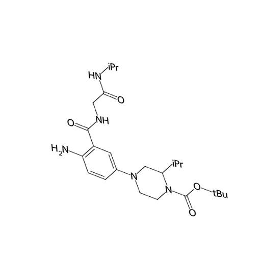 CC(C)NC(=O)CNC(=O)c1cc(N2CCN(C(=O)OC(C)(C)C)C(C(C)C)C2)ccc1N